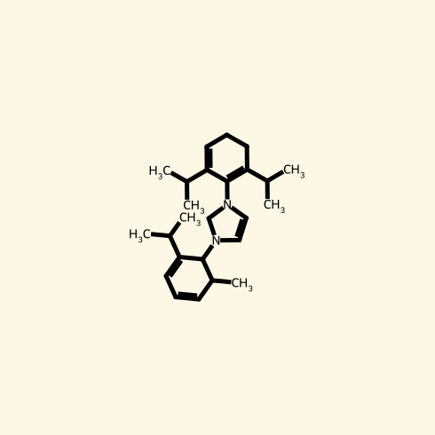 CC(C)C1=CCCC(C(C)C)=C1N1C=CN(C2C(C(C)C)=CC=CC2C)C1